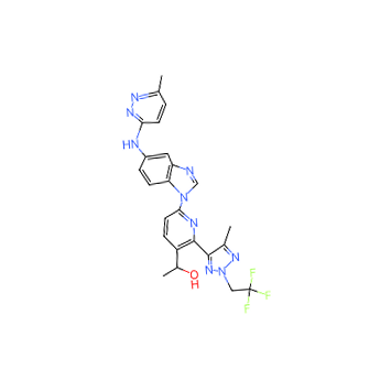 Cc1ccc(Nc2ccc3c(c2)ncn3-c2ccc(C(C)O)c(-c3nn(CC(F)(F)F)nc3C)n2)nn1